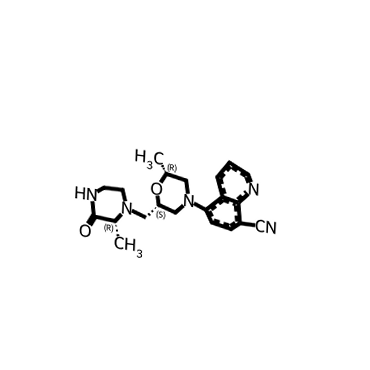 C[C@@H]1CN(c2ccc(C#N)c3ncccc23)C[C@H](CN2CCNC(=O)[C@H]2C)O1